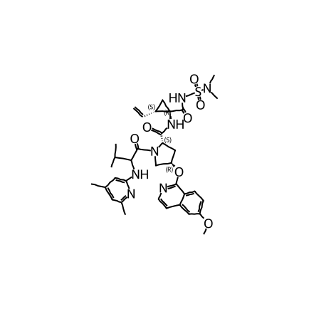 C=C[C@@H]1C[C@]1(NC(=O)[C@@H]1C[C@@H](Oc2nccc3cc(OC)ccc23)CN1C(=O)C(Nc1cc(C)cc(C)n1)C(C)C)C(=O)NS(=O)(=O)N(C)C